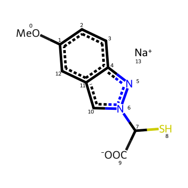 COc1ccc2nn(C(S)C(=O)[O-])cc2c1.[Na+]